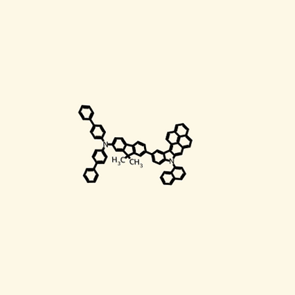 CC1(C)c2cc(-c3ccc4c(c3)c3c5ccc6cccc7ccc(cc3n4-c3cccc4ccccc34)c5c76)ccc2-c2ccc(N(c3ccc(-c4ccccc4)cc3)c3ccc(-c4ccccc4)cc3)cc21